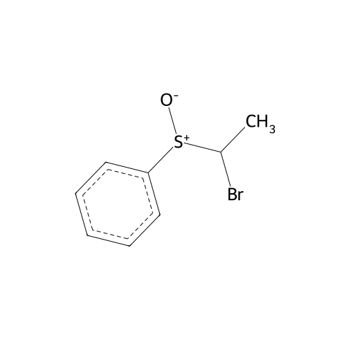 CC(Br)[S+]([O-])c1ccccc1